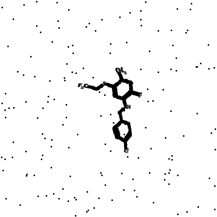 CC1CC(F)=C(NCC2C=CC(Cl)=CC2)C=C1SCC(F)(F)F